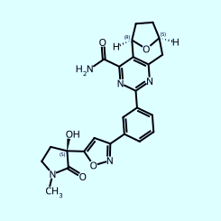 CN1CC[C@](O)(c2cc(-c3cccc(-c4nc5c(c(C(N)=O)n4)[C@H]4CC[C@@H](C5)O4)c3)no2)C1=O